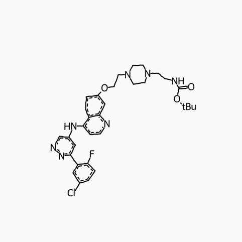 CC(C)(C)OC(=O)NCCN1CCN(CCOc2ccc3c(Nc4cnnc(-c5cc(Cl)ccc5F)c4)ccnc3c2)CC1